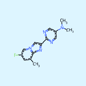 Cc1cc(F)cn2cc(-c3ncc(N(C)C)cn3)nc12